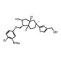 CCc1ccc(OC[C@@H]2[C@H]3CC[C@](C)(c4nc(CO)cs4)C[C@H]3C[C@@H]2O)cc1NC